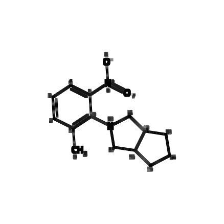 Cc1cccc([N+](=O)[O-])c1N1CC2CCCC2C1